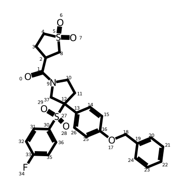 O=C(C1CCS(=O)(=O)C1)N1CCC(c2ccc(OCc3ccccc3)cc2)(S(=O)(=O)c2ccc(F)cc2)C1